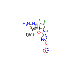 COC[C@]12C[C@H]1[C@](C)(c1cc(NC(=O)c3cnc(OCc4ncco4)cn3)cc(F)c1F)N=C(N)S2